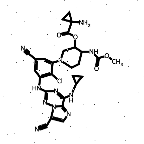 COC(=O)NC1CCN(c2cc(C#N)cc(Nc3nc(NC4CC4)c4ncc(C#N)n4n3)c2Cl)CC1OC(=O)C1(N)CC1